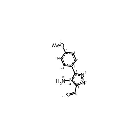 COc1ccc(-c2nnc(C=S)n2N)cc1